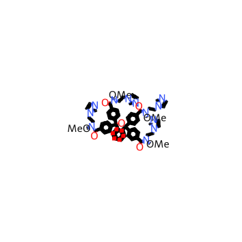 CON(CCn1ccnc1)C(=O)c1ccc(C(OC(c2ccccc2)(c2ccc(C(=O)N(CCn3ccnc3)OC)cc2)c2ccc(C(=O)N(CCn3ccnc3)OC)cc2)(c2ccccc2)c2ccc(C(=O)N(CCn3ccnc3)OC)cc2)cc1